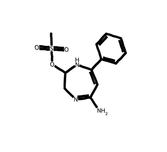 CS(=O)(=O)OC1CN=C(N)C=C(c2ccccc2)N1